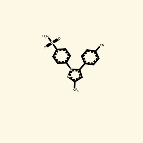 N#Cc1ccc(-c2cc(C(F)(F)F)nn2-c2ccc(S(N)(=O)=O)cc2)cc1